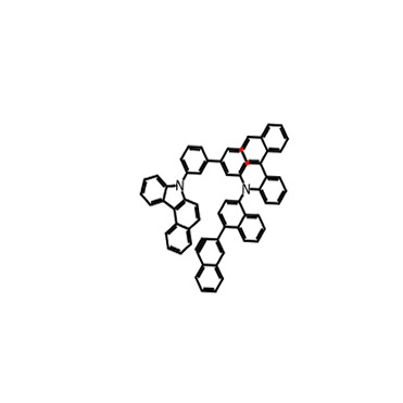 c1c(-c2ccc(N(c3cccc(-c4cccc(-n5c6ccccc6c6c7ccccc7ccc65)c4)c3)c3ccccc3-c3cccc4ccccc34)c3ccccc23)cc2ccccc2c#1